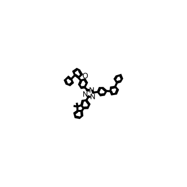 CC1(C)c2ccccc2-c2ccc(-c3nc(-c4ccc(-c5cccc(-c6ccccc6)c5)cc4)nc(-c4ccc5c(c4)oc4cccc(-c6ccccc6)c45)n3)cc21